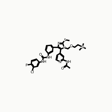 CSc1nc(-c2cccc(NC(=O)Nc3ccc(F)c(Cl)c3)c2)c(-c2ccnc(NC(C)=O)c2)n1COCC[Si](C)(C)C